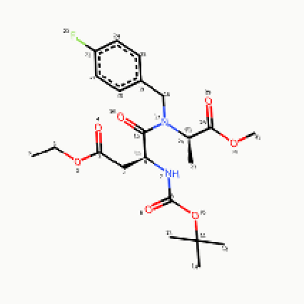 CCOC(=O)C[C@H](NC(=O)OC(C)(C)C)C(=O)N(Cc1ccc(F)cc1)[C@H](C)C(=O)OC